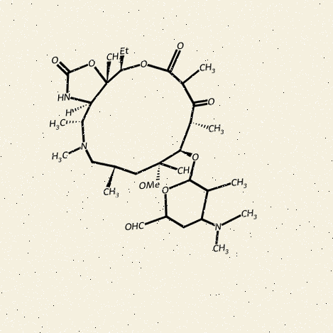 CC[C@H]1OC(=O)C(C)C(=O)[C@H](C)[C@@H](OC2OC(C=O)CC(N(C)C)C2C)[C@](C)(OC)C[C@@H](C)CN(C)[C@H](C)[C@H]2NC(=O)O[C@@]21C